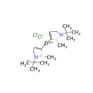 CB1[C]([Zr+2][C]2=CCN(C(C)(C)C)B2C)=CCN1C(C)(C)C.[Cl-].[Cl-]